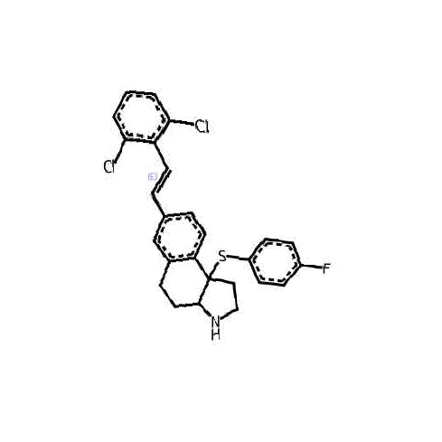 Fc1ccc(SC23CCNC2CCc2cc(/C=C/c4c(Cl)cccc4Cl)ccc23)cc1